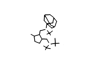 CC1CCC(CP(C(C)(C)C)C(C)(C)C)C1CP(C(C)(C)C)C12CC3CC(CC(C3)C1)C2